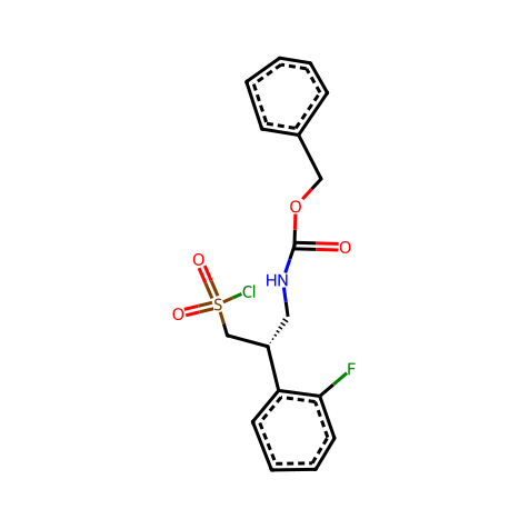 O=C(NC[C@@H](CS(=O)(=O)Cl)c1ccccc1F)OCc1ccccc1